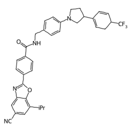 CC(C)c1cc(C#N)cc2nc(-c3ccc(C(=O)NCc4ccc(N5CCC(C6=CCC(C(F)(F)F)C=C6)C5)cc4)cc3)oc12